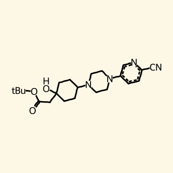 CC(C)(C)OC(=O)CC1(O)CCC(N2CCN(c3ccc(C#N)nc3)CC2)CC1